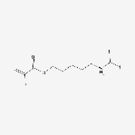 C=C(C)C(=O)OCCCCC[SiH2]C(I)I